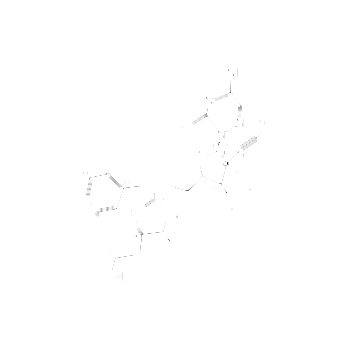 CC(C)OC(=O)[C@H](C)OP(=O)(OC[C@H]1O[C@@H](n2ncc(N)nc2=O)C(O)(C#CCl)[C@H]1O)Oc1ccccc1